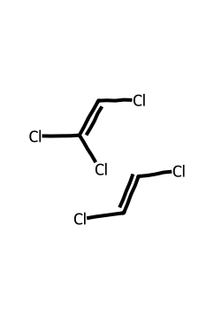 ClC=C(Cl)Cl.ClC=CCl